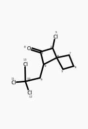 O=C1C(Cl)C2(CCC2)C1CC(Cl)(Cl)Cl